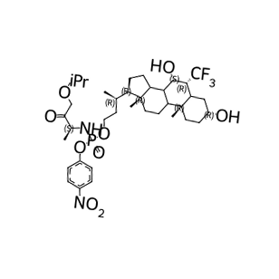 CC(C)OCC(=O)[C@H](C)NP(=O)(OCC[C@@H](C)[C@H]1CCC2C3C(CC[C@@]21C)[C@@]1(C)CC[C@@H](O)CC1[C@@H](C(F)(F)F)[C@H]3O)Oc1ccc([N+](=O)[O-])cc1